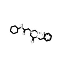 O=C(O)CN(CC(=O)NC1CCCCC1)CC(=O)OCc1ccccc1